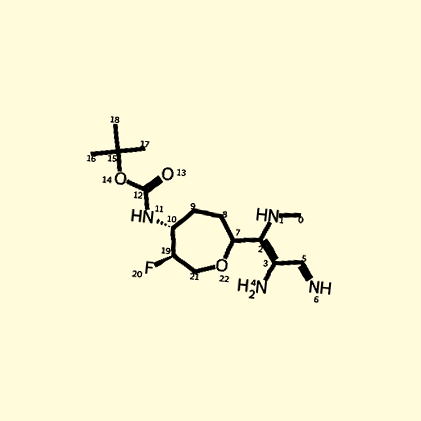 CN/C(=C(/N)C=N)C1CC[C@@H](NC(=O)OC(C)(C)C)[C@H](F)CO1